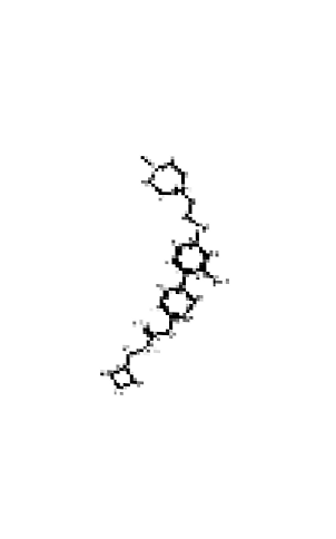 CN1CCN(CCOc2ccc(-c3ccc(CC(=O)NCC4CCC4)nc3)c(F)c2)CC1